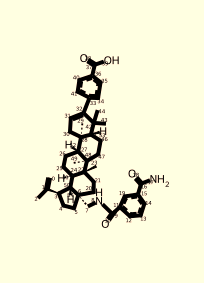 C=C(C)[C@@H]1CC[C@]2(CNC(=O)c3cccc(C(N)=O)c3)CC[C@]3(C)[C@H](CC[C@@H]4[C@@]5(C)CC=C(c6ccc(C(=O)O)cc6)C(C)(C)[C@@H]5CC[C@]43C)[C@@H]12